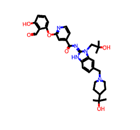 CC(C)(O)Cn1/c(=N/C(=O)c2ccnc(Oc3cccc(O)c3C=O)c2)[nH]c2ccc(CN3CCC(C(C)(C)O)CC3)cc21